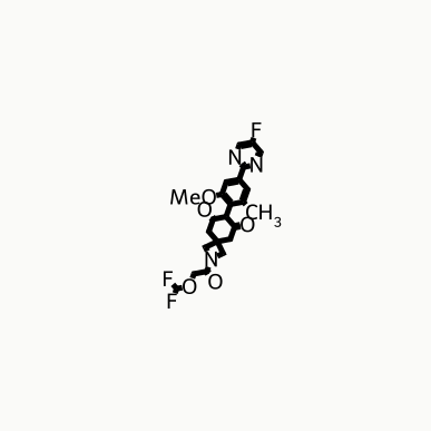 COc1cc(-c2ncc(F)cn2)cc(C)c1C1C(=O)CC2(CC1=O)CN(C(=O)COC(F)F)C2